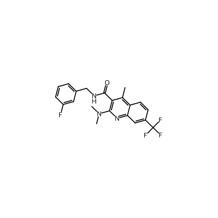 Cc1c(C(=O)NCc2cccc(F)c2)c(N(C)C)nc2cc(C(F)(F)F)ccc12